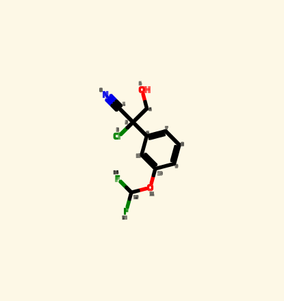 N#CC(Cl)(CO)c1cccc(OC(F)F)c1